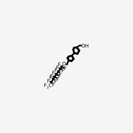 OCc1ccc(-c2ccc(COC(F)(F)C(F)(F)C(F)(F)C(F)(F)C(F)(F)C(F)(F)C(F)(F)C(F)(F)F)cc2)cc1